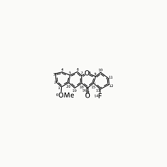 COc1cccc2cc3oc4cccc(F)c4c(=O)c3cc12